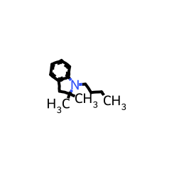 CCCCN1c2ccccc2CC1(C)C